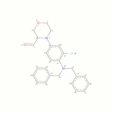 O=CC1COCCN1c1ccc(N(Cc2ccccc2)Cc2ccccc2)c(F)c1